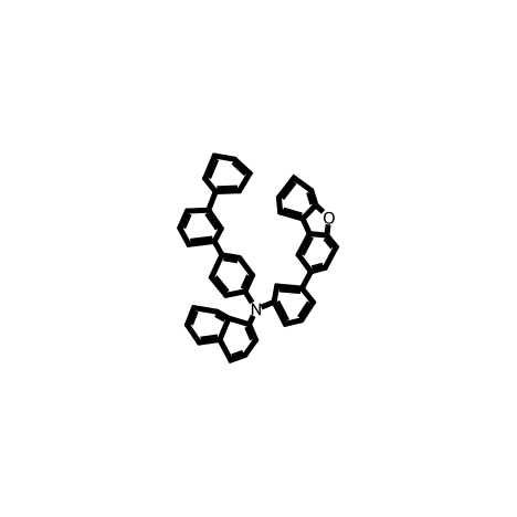 c1ccc(-c2cccc(-c3ccc(N(c4cccc(-c5ccc6oc7ccccc7c6c5)c4)c4cccc5ccccc45)cc3)c2)cc1